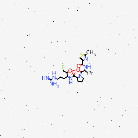 Cc1nc(C(=O)NC(C(=O)N2CCCC2C(=O)NC(CCCNC(=N)N)C(=O)CF)C(C)C)cs1